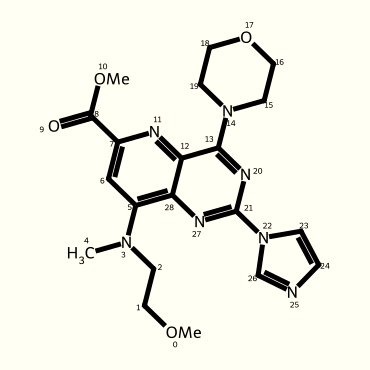 COCCN(C)c1cc(C(=O)OC)nc2c(N3CCOCC3)nc(-n3ccnc3)nc12